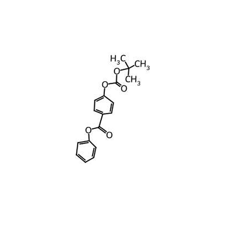 CC(C)(C)OC(=O)Oc1ccc(C(=O)Oc2ccccc2)cc1